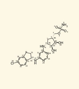 NS(=O)(=O)OC[C@H]1C[C@@H](Nc2cc(N[C@H]3CCc4cc(Cl)ccc43)ncn2)[C@H](O)[C@@H]1O